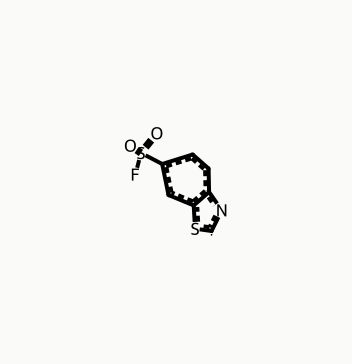 O=S(=O)(F)c1ccc2n[c]sc2c1